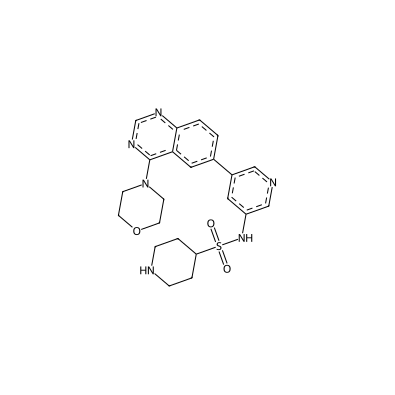 O=S(=O)(Nc1cncc(-c2ccc3ncnc(N4CCOCC4)c3c2)c1)C1CCNCC1